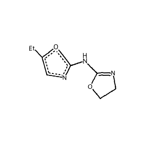 CCc1cnc(NC2=NCCO2)o1